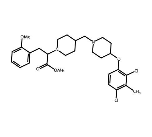 COC(=O)C(Cc1ccccc1OC)N1CCC(CN2CCC(Oc3ccc(Cl)c(C)c3Cl)CC2)CC1